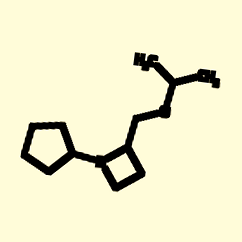 CC(C)OCC1CCN1C1CCCC1